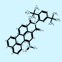 CC(C)(C)c1ccc(C(C)(C)C)c(N2C(=O)c3ccc4c5cccc6cccc(c7c([N+](=O)[O-])cc(c3c47)C2=O)c65)c1